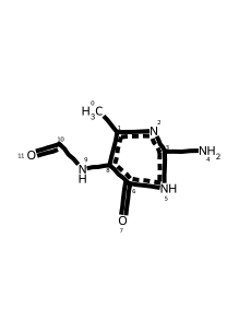 Cc1nc(N)[nH]c(=O)c1NC=O